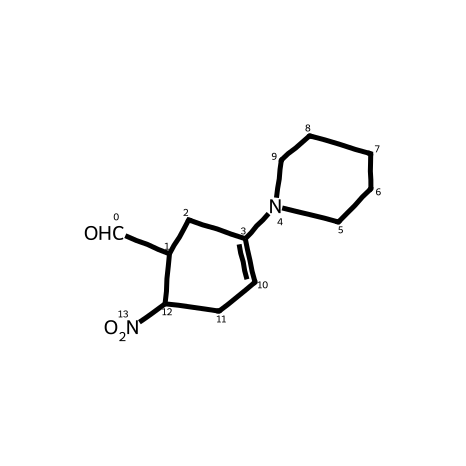 O=CC1CC(N2CCCCC2)=CCC1[N+](=O)[O-]